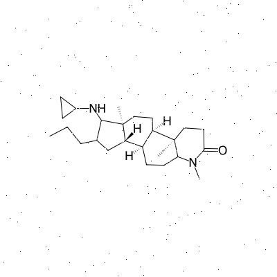 CCCC1C[C@H]2[C@@H]3CCC4N(C)C(=O)CC[C@]4(C)[C@@H]3CC[C@]2(C)C1NC1CC1